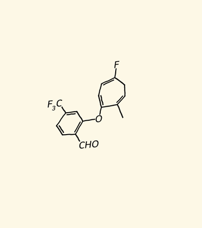 CC1=CCC(F)=CC=C1Oc1cc(C(F)(F)F)ccc1C=O